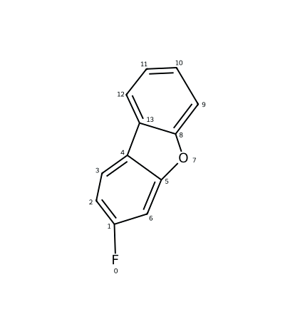 Fc1ccc2c(c1)oc1ccccc12